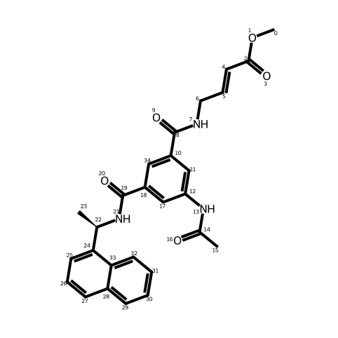 COC(=O)/C=C/CNC(=O)c1cc(NC(C)=O)cc(C(=O)N[C@H](C)c2cccc3ccccc23)c1